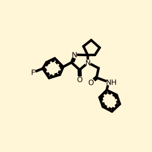 O=C(CN1C(=O)C(c2ccc(F)cc2)=NC12CCCC2)Nc1ccccc1